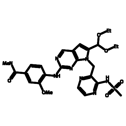 CCOC(OCC)c1cc2cnc(Nc3ccc(C(=O)NC)cc3OC)nc2n1Cc1nccnc1NS(C)(=O)=O